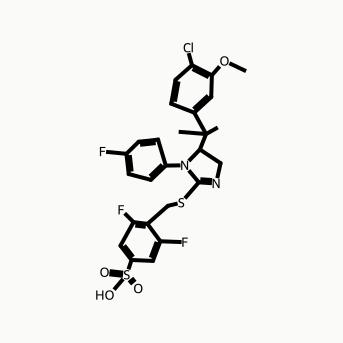 COc1cc(C(C)(C)C2CN=C(SCc3c(F)cc(S(=O)(=O)O)cc3F)N2c2ccc(F)cc2)ccc1Cl